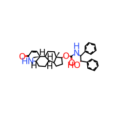 C[C@]12C=CC(=O)N[C@@H]1CC[C@@H]1[C@@H]2CC[C@]2(C)[C@@H](OC(=O)NC(c3ccccc3)C(O)c3ccccc3)CC[C@@H]12